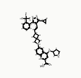 O=C(O)c1cc(OC2CCOC2)c2cc(N3CC4(CC(C=Cc5c(-c6ccccc6C(F)(F)F)noc5C5CC5)C4)C3)ccc2n1